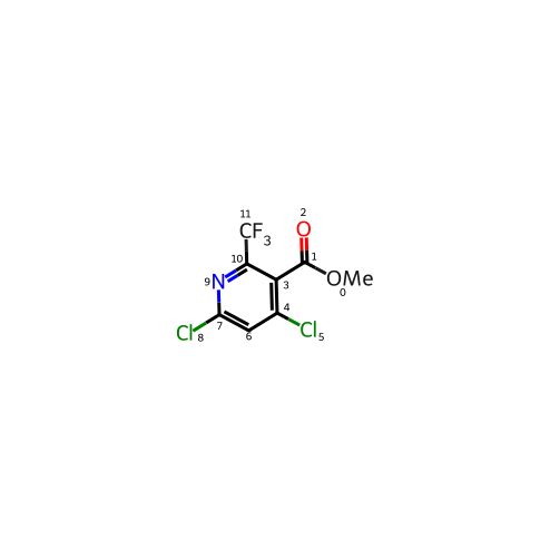 COC(=O)c1c(Cl)cc(Cl)nc1C(F)(F)F